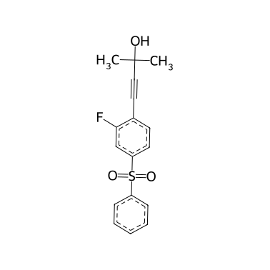 CC(C)(O)C#Cc1ccc(S(=O)(=O)c2ccccc2)cc1F